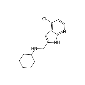 Clc1ccnc2[nH]c(CNC3CCCCC3)cc12